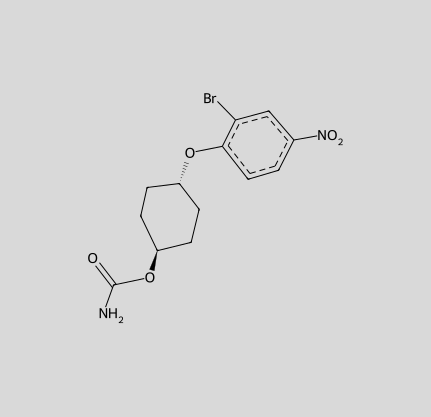 NC(=O)O[C@H]1CC[C@H](Oc2ccc([N+](=O)[O-])cc2Br)CC1